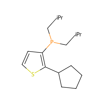 CC(C)CP(CC(C)C)c1ccsc1C1CCCC1